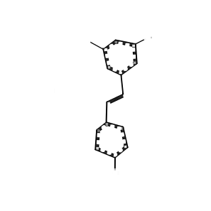 Oc1ccc(/C=C/c2cc(O)cc(O)c2)cc1.[H+].[S-2]